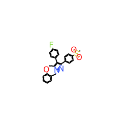 CS(=O)(=O)c1ccc(-c2nn3c(c2-c2ccc(F)cc2)COc2ccccc2C3)cc1